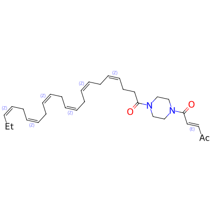 CC/C=C\C/C=C\C/C=C\C/C=C\C/C=C\C/C=C\CCC(=O)N1CCN(C(=O)/C=C/C(C)=O)CC1